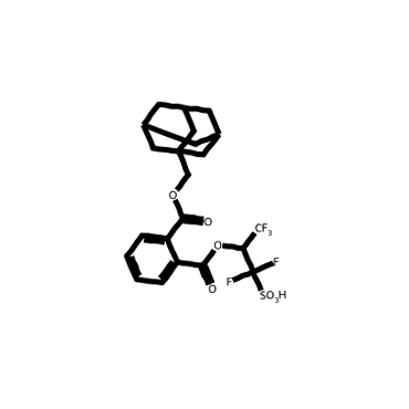 O=C(OCC12CC3CC(CC(C3)C1)C2)c1ccccc1C(=O)OC(C(F)(F)F)C(F)(F)S(=O)(=O)O